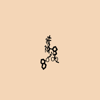 CCOC(=O)c1cc2cccc(-c3c(C)nn(C)c3CO[Si](C)(C)C(C)(C)C)c2n1CCCOc1cccc2ccccc12